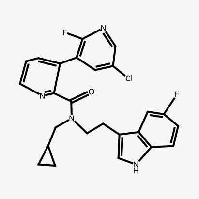 O=C(c1ncccc1-c1cc(Cl)cnc1F)N(CCc1c[nH]c2ccc(F)cc12)CC1CC1